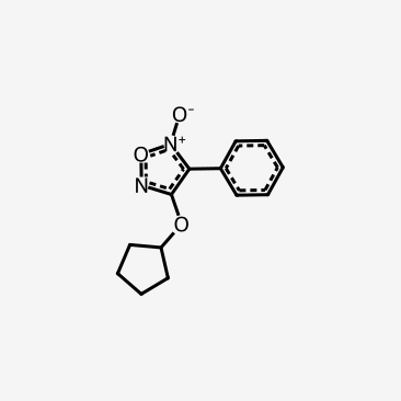 [O-][n+]1onc(OC2CCCC2)c1-c1ccccc1